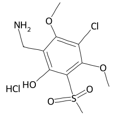 COc1c(Cl)c(OC)c(S(C)(=O)=O)c(O)c1CN.Cl